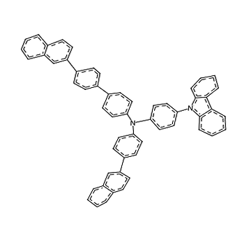 c1ccc2cc(-c3ccc(-c4ccc(N(c5ccc(-c6ccc7ccccc7c6)cc5)c5ccc(-n6c7ccccc7c7ccccc76)cc5)cc4)cc3)ccc2c1